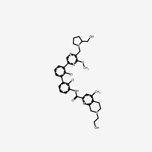 COc1nc(-c2cccc(-c3cccc(NC(=O)c4cc(C)c5c(n4)CN(CCO)CC5)c3Cl)c2Cl)cnc1CN1CCCC1CO